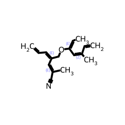 C=C/C=C(\C=C(/C)C#N)COC(/C=C(/C)C=C)=C/C